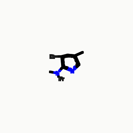 CCc1cc(C)cnc1N(C)C(C)C